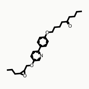 CCCCC(=O)CCCCOc1ccc(-c2ccc(OCC3OC3CCC)cn2)cc1